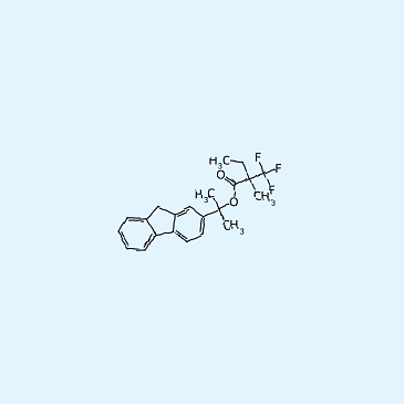 CCC(C)(C(=O)OC(C)(C)c1ccc2c(c1)Cc1ccccc1-2)C(F)(F)F